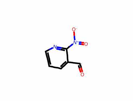 O=[C]c1cccnc1[N+](=O)[O-]